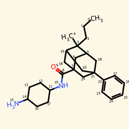 CCCC1(C)C2CC3(C(=O)NC4CCC(N)CC4)CC1CC(c1ccccc1)(C2)C3